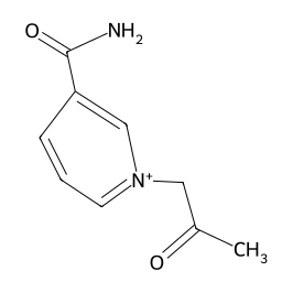 CC(=O)C[n+]1cccc(C(N)=O)c1